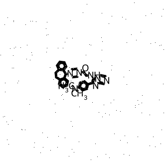 CN(C)c1ccc(-c2nc3cnccn3c2NCC(=O)N2CCN(C3c4ccccc4CCc4ccccc43)CC2)cc1